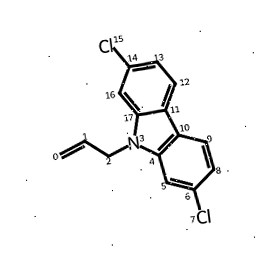 C=CCn1c2cc(Cl)ccc2c2ccc(Cl)cc21